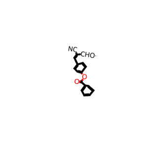 N#CC([C]=O)=Cc1ccc(OC(=O)c2ccccc2)cc1